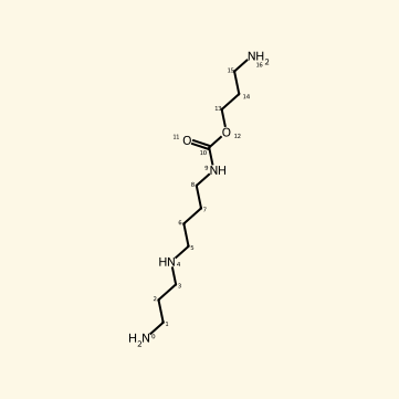 NCCCNCCCCNC(=O)OCCCN